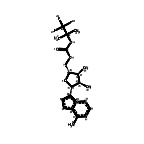 CC(C)(OC(=O)OC[C@H]1O[C@@H](c2ccc3c(N)ncnn23)[C@H](O)[C@@H]1O)C(F)(F)F